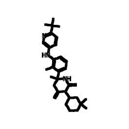 C=C1CC(C)(c2cccc(Nc3ccc(C(C)(C)C)nc3)c2C)NC(=C)C1C1CCCC(C)(C)C1